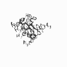 CCOC(=O)c1c(CC(C)C(=O)O)c(CC(C)C(=O)O)c(C(=O)N(C)C)n1-c1ccc(OC)cc1